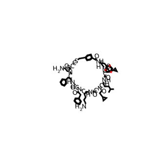 CC(C)CC[C@H]1CN(C(=O)CC2CC2)CC(=O)N[C@@H](CCCCN)CN(C(=O)Cc2ccccc2)CC(=O)N[C@@H](Cc2ccccc2)CN(CC(N)=O)C(=O)CCSCc2ccc(cc2)C(=O)N[C@@H](Cc2ccccc2)CN(C(=O)CC2CC2)CC(=O)N1